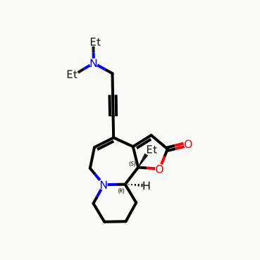 CCN(CC)CC#CC1=CCN2CCCC[C@@H]2[C@@]2(CC)OC(=O)C=C12